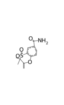 C=C1Oc2ccc(C(N)=O)cc2S(=O)(=O)C1(C)C